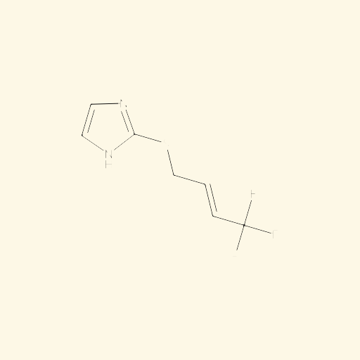 FC(F)(F)C=CCSc1ncc[nH]1